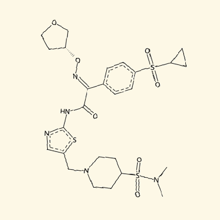 CN(C)S(=O)(=O)C1CCN(Cc2cnc(NC(=O)/C(=N/O[C@@H]3CCOC3)c3ccc(S(=O)(=O)C4CC4)cc3)s2)CC1